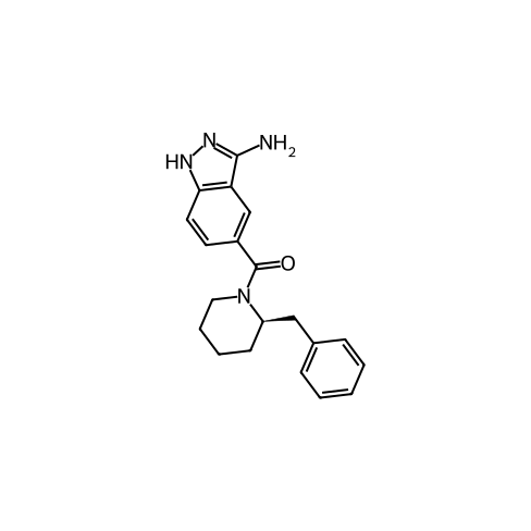 Nc1n[nH]c2ccc(C(=O)N3CCCC[C@@H]3Cc3ccccc3)cc12